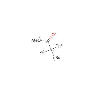 [2H]C([2H])(CCCC)C(=O)OC